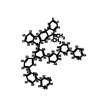 CC1(C)c2ccccc2-c2cc3c4ccccc4n(-c4cc(-c5cccc(-c6cccc(-c7cncnc7)n6)c5)cc(-c5cccc(-c6cccc(-c7cncnc7)n6)c5)c4)c3cc21